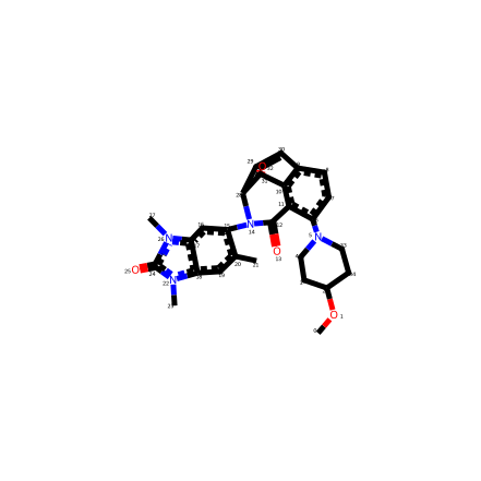 COC1CCN(c2ccc3c4c2C(=O)N(c2cc5c(cc2C)n(C)c(=O)n5C)C(C=C3)C4=O)CC1